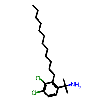 CCCCCCCCCCCCc1c(C(C)(C)N)ccc(Cl)c1Cl